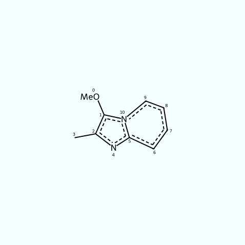 COc1c(C)nc2ccccn12